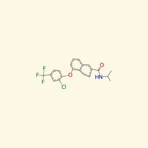 CC(C)NC(=O)c1ccc2c(Oc3ccc(C(F)(F)F)cc3Cl)cccc2c1